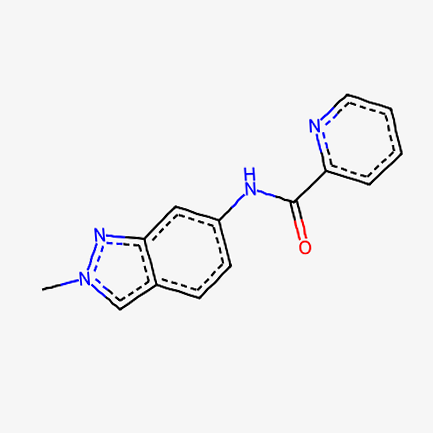 Cn1cc2ccc(NC(=O)c3ccccn3)cc2n1